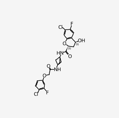 O=C(COc1ccc(Cl)c(F)c1)NC12CC(NC(=O)[C@@H]3C[C@H](O)c4cc(F)c(Cl)cc4O3)(C1)C2